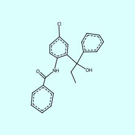 CCC(O)(c1ccccc1)c1cc(Cl)ccc1NC(=O)c1ccccc1